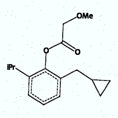 COCC(=O)Oc1c(CC2CC2)cccc1C(C)C